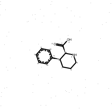 O=C(O)[C@H]1NCCC[C@H]1c1ccccc1